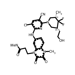 CNC(=O)CCn1c(=O)c(=O)n(C)c2ccc(Nc3nc(N4C[C@@H](CCO)C(F)(F)[C@@H](C)C4)c(C#N)cc3Cl)cc21